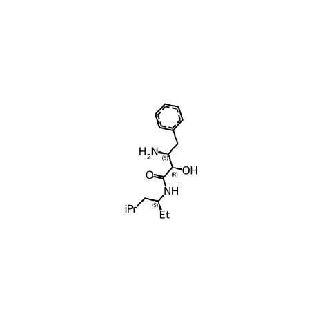 CC[C@@H](CC(C)C)NC(=O)[C@H](O)[C@@H](N)Cc1ccccc1